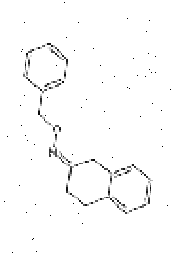 c1ccc(CON=C2CCc3ccccc3C2)cc1